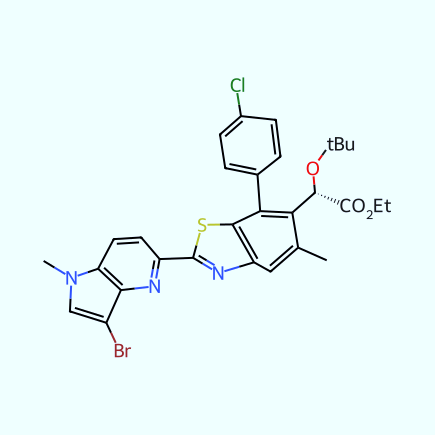 CCOC(=O)[C@@H](OC(C)(C)C)c1c(C)cc2nc(-c3ccc4c(n3)c(Br)cn4C)sc2c1-c1ccc(Cl)cc1